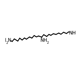 NCCCCCCCCCCCCC(N)CCCCCCCCCCCN